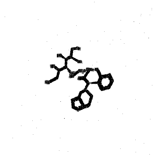 COC(=O)[C@H](c1ccccc1Cl)N1CCc2sccc2C1.O=S(=O)(O)O.OC[C@@H](O)[C@@H](O)[C@H](O)[C@H](O)CO